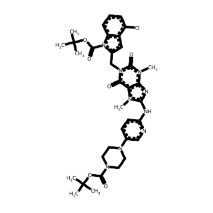 Cn1c(Nc2ccc(N3CCN(C(=O)OC(C)(C)C)CC3)cn2)nc2c1c(=O)n(Cc1cc3c(Cl)cccc3n1C(=O)OC(C)(C)C)c(=O)n2C